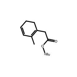 CCCCOC(=O)CC1=C(C)C=CCC1